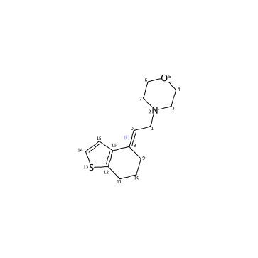 C(/CN1CCOCC1)=C1/CCCc2sccc21